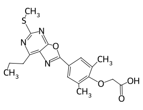 CCCc1nc(SC)nc2oc(-c3cc(C)c(OCC(=O)O)c(C)c3)nc12